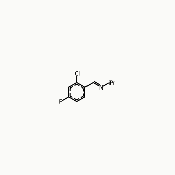 CC(C)/N=C/c1ccc(F)cc1Cl